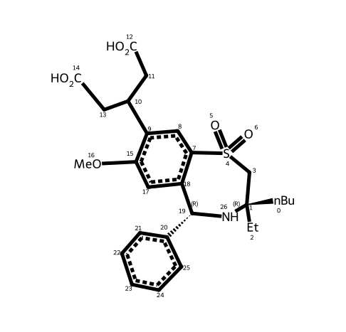 CCCC[C@]1(CC)CS(=O)(=O)c2cc(C(CC(=O)O)CC(=O)O)c(OC)cc2[C@@H](c2ccccc2)N1